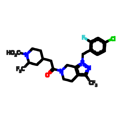 O=C(CC1CCN(C(=O)O)C(C(F)(F)F)C1)N1CCc2c(C(F)(F)F)nn(Cc3ccc(Cl)cc3F)c2C1